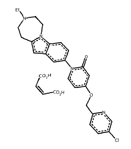 CCN1CCc2cc3cc(-n4ccc(OCc5ccc(Cl)cn5)cc4=O)ccc3n2CC1.O=C(O)/C=C\C(=O)O